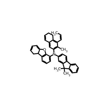 C/C=C\c1c(C)c(N(c2ccc3c(c2)C(C)(C)c2ccccc2-3)c2cccc3c2OC2=CC=CCC23)cc2c1CCC=C2